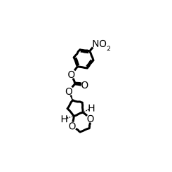 O=C(Oc1ccc([N+](=O)[O-])cc1)O[C@@H]1C[C@@H]2OCCO[C@@H]2C1